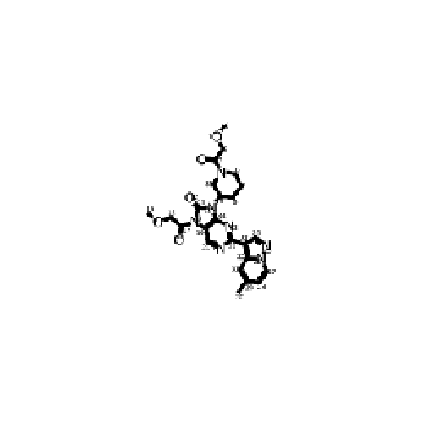 COCC(=O)N1CCCC(n2c(=O)n(C(=O)COC)c3cnc(-c4cnn5ccc(C)cc45)nc32)C1